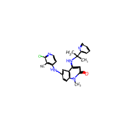 Cn1c(=O)cc(NC(C)(C)c2ccccn2)c2cc(Nc3ccnc(Cl)c3C#N)ccc21